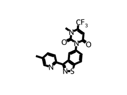 Cc1ccc(-c2nsc3ccc(-n4c(=O)cc(C(F)(F)F)n(C)c4=O)cc23)nc1